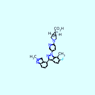 Cc1c(F)ccc2c(-c3cccc4nn(C)cc34)nn(-c3ccc(N4C[C@@H]5[C@H](C4)[C@@H]5C(=O)O)nc3)c12